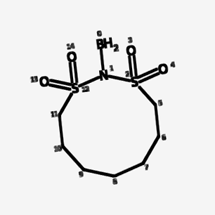 BN1S(=O)(=O)CCCCCCCS1(=O)=O